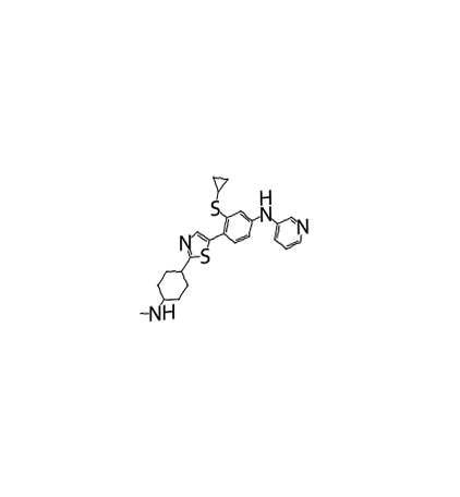 CNC1CCC(c2ncc(-c3ccc(Nc4cccnc4)cc3SC3CC3)s2)CC1